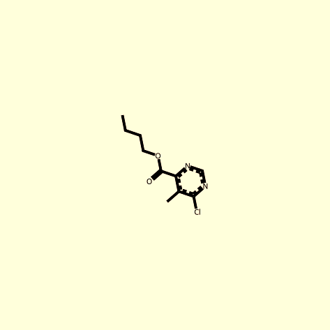 CCCCOC(=O)c1ncnc(Cl)c1C